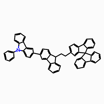 c1ccc(-n2c3ccccc3c3cc(-c4ccc5c(c4)-c4ccccc4C5CCc4ccc5c(c4)C4(c6ccccc6-c6ccccc64)c4ccccc4-5)ccc32)cc1